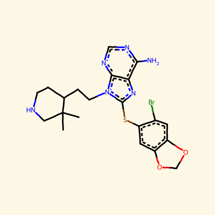 CC1(C)CNCCC1CCn1c(Sc2cc3c(cc2Br)OCO3)nc2c(N)ncnc21